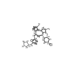 Cc1sc2c(c1C)C(c1ccc(Cl)cc1)=N[C@@H](Cc1nnc(CC3CCCC3)o1)c1nnc(C)n1-2